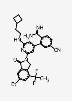 CCc1cc2c(c(C(C)(F)F)c1)CN(c1cc(-c3cc(C#N)ccc3C(=N)N)cc(NCCC3CCC3)n1)C2=O